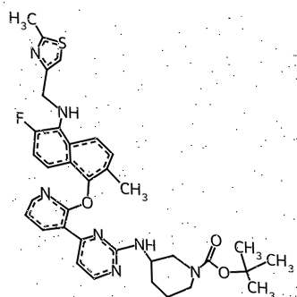 Cc1nc(CNc2c(F)ccc3c(Oc4ncccc4-c4ccnc(NC5CCCN(C(=O)OC(C)(C)C)C5)n4)c(C)ccc23)cs1